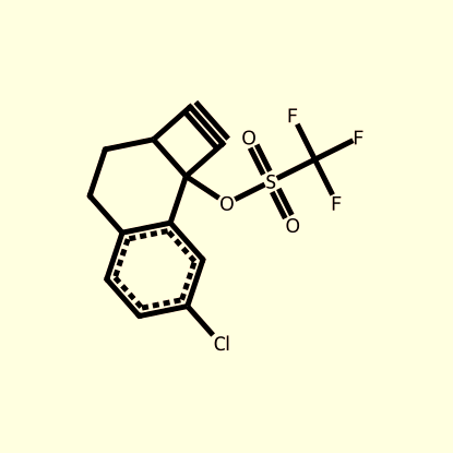 O=S(=O)(OC12C#CC1CCc1ccc(Cl)cc12)C(F)(F)F